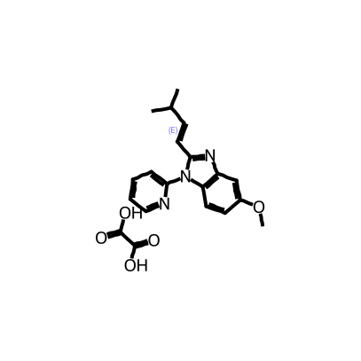 COc1ccc2c(c1)nc(/C=C/C(C)C)n2-c1ccccn1.O=C(O)C(=O)O